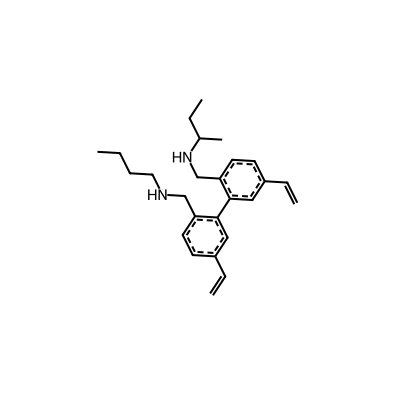 C=Cc1ccc(CNCCCC)c(-c2cc(C=C)ccc2CNC(C)CC)c1